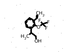 [CH2]C(CO)c1cccc(C=C)c1OC(F)(F)F